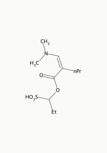 CCCC(=CN(C)C)C(=O)OC(CC)S(=O)(=O)O